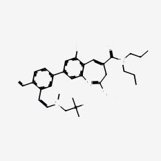 CCCN(CCC)C(=O)C1=Cc2c(F)cc(-c3ccc(C=O)c(/C=C\N(C)CC(C)(C)O)c3)cc2N=C(N)C1